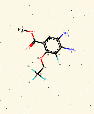 COC(=O)c1cc(N)c(N)c(F)c1OCC(F)(F)F